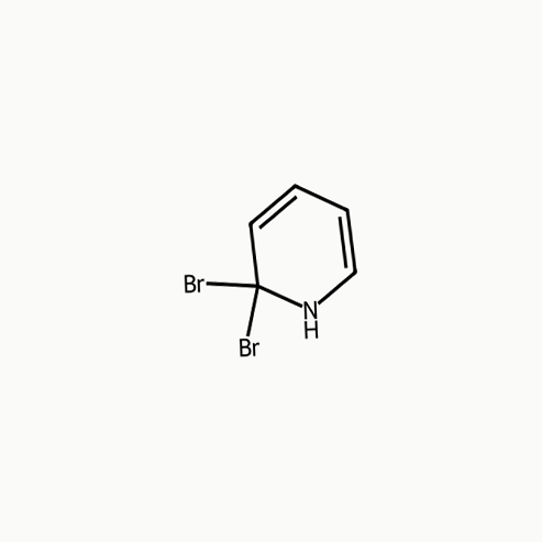 BrC1(Br)C=CC=CN1